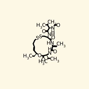 C/C=C1\NC(=O)[C@H](NC(=O)[C@H](NC=O)C(C)C)CSSCC/C=C/[C@H](CC)OC(=O)[C@H](C(C)C)NC1=O